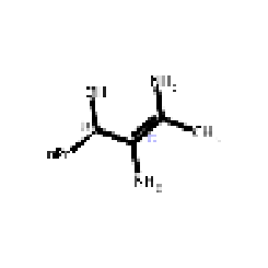 CCC[C@@H](O)/C(N)=C(/C)N